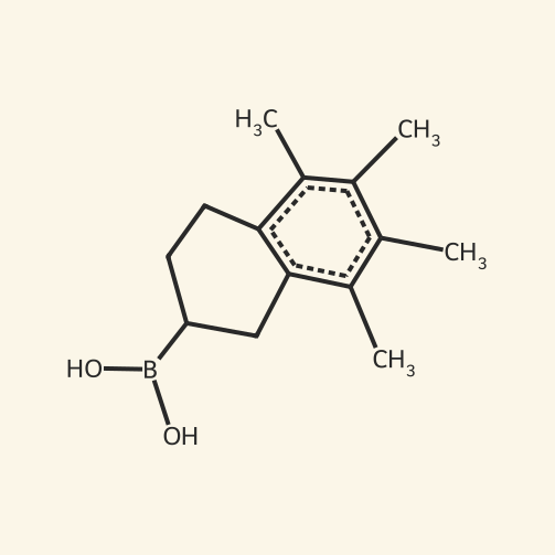 Cc1c(C)c(C)c2c(c1C)CCC(B(O)O)C2